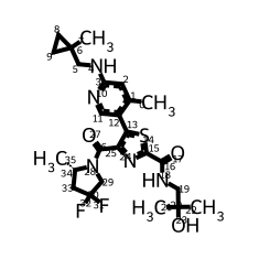 Cc1cc(NCC2(C)CC2)ncc1-c1sc(C(=O)NCC(C)(C)O)nc1C(=O)N1CC(F)(F)C[C@@H]1C